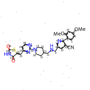 COc1ccc(-c2ncc(CNCC3CCN(c4nccc(/C=C5\SC(=O)NC5=O)n4)CC3)cc2C#N)c(OC)c1